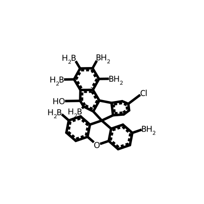 Bc1ccc2c(c1)C1(c3cc(B)ccc3O2)c2ccc(Cl)cc2-c2c1c(B)c(O)c1c(B)c(B)c(B)c(B)c21